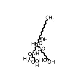 CCCCCCCCCCC[C@@H](O)CC(=O)N[C@H](CCCNC(=O)[C@@H](C)CC(=O)O)COC(=O)CCCCC(O)CO